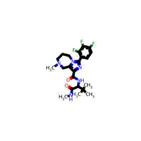 CNC(=O)C(NC(=O)c1nc(-c2ccc(F)c(F)c2F)n2c1CN(C)CCC2)C(C)(C)C